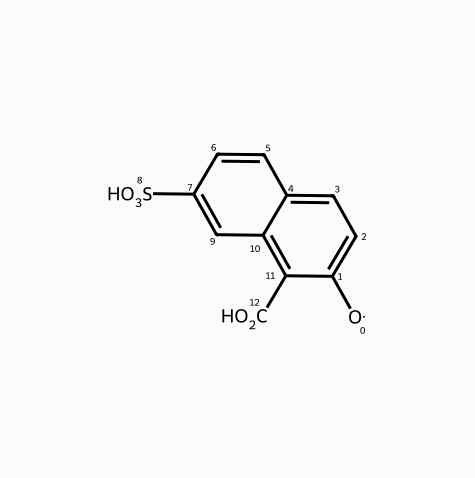 [O]c1ccc2ccc(S(=O)(=O)O)cc2c1C(=O)O